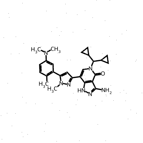 Cc1ccc(N(C)C)cc1-c1cc(-c2cn(C(C3CC3)C3CC3)c(=O)c3c(N)n[nH]c23)nn1C